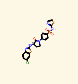 O=C1[C@@H](Nc2nc3ccc(Cl)cc3s2)CCN1c1ccc(S(=O)(=O)Nc2nccs2)cc1